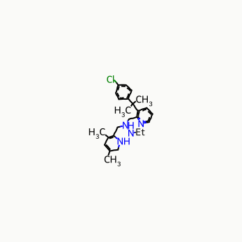 CCNN(CC1=C(C)C=C(C)CN1)Cc1ncccc1C(C)(C)c1ccc(Cl)cc1